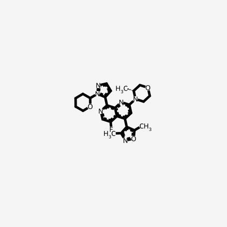 Cc1noc(C)c1-c1cc(N2CCOC[C@H]2C)nc2c(-c3ccnn3C3CCCCO3)ncc(F)c12